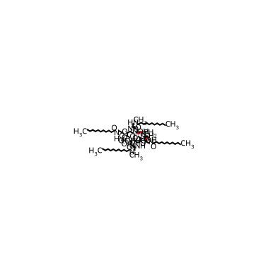 CCCCCCCCCCCC(=O)NCC(=O)O[C@@H]1[C@H](NC(=O)CN(C)C(=O)CCCCCCCCCCC)[C@H](OC[C@H]2O[C@H](OCCOP)[C@@H](NC(=O)CN(C)C(=O)CCCCCCCCCCC)[C@@H](OC(=O)CNC(=O)CCCCCCCCCCC)[C@@H]2OP(=O)(O)O)O[C@H](CO)[C@H]1OP(=O)(O)O